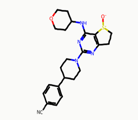 N#Cc1ccc(C2CCN(c3nc4c(c(NC5CCOCC5)n3)[S+]([O-])CC4)CC2)cc1